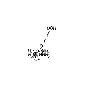 NC(=O)N(N)C(CCOCCCCCCCCCCCC(=O)O)CCC(CC(=O)O)N(N)C(N)=O